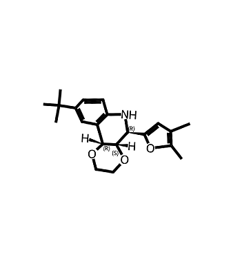 Cc1cc([C@@H]2Nc3ccc(C(C)(C)C)cc3[C@H]3OCCO[C@H]32)oc1C